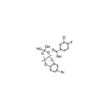 CC(=O)c1ccc2c(c1)[C@@H](NC(=O)c1ccc(F)c(Cl)c1)[C@@H](OP(=O)(O)O)C(C)(C)O2